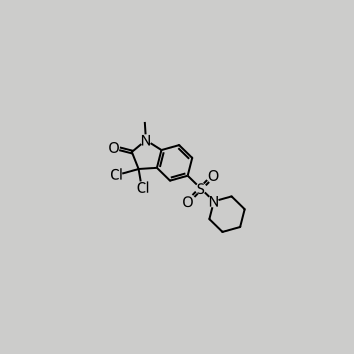 CN1C(=O)C(Cl)(Cl)c2cc(S(=O)(=O)N3CCCCC3)ccc21